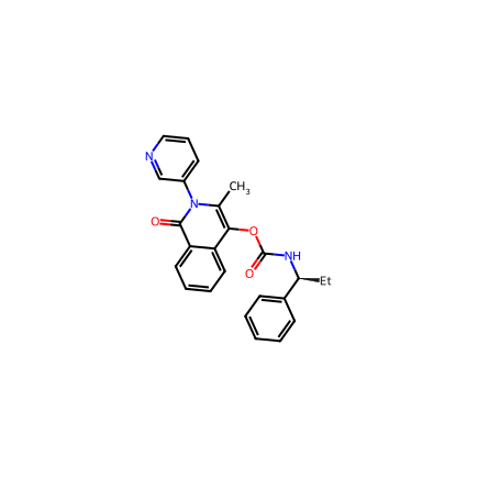 CC[C@H](NC(=O)Oc1c(C)n(-c2cccnc2)c(=O)c2ccccc12)c1ccccc1